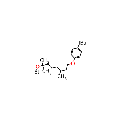 CCOC(C)(C)CCCC(C)CCOc1ccc(C(C)(C)C)cc1